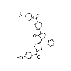 CN(C)C1CCN(C(=O)c2ccc(N3N=C(c4ccccc4)C(=C4CCN(C(=O)c5ccc(O)cc5)CC4)C3=O)cc2)CC1